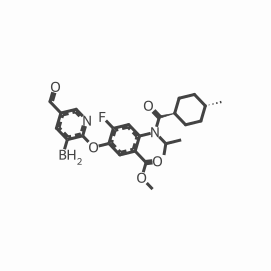 Bc1cc(C=O)cnc1Oc1cc(C(=O)OC)c(N(C(=O)[C@H]2CC[C@H](C)CC2)C(C)C)cc1F